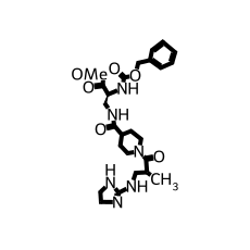 COC(=O)[C@H](CNC(=O)C1CCN(C(=O)C(C)CNC2=NCCN2)CC1)NC(=O)OCc1ccccc1